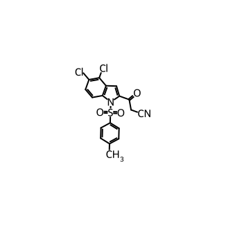 Cc1ccc(S(=O)(=O)n2c(C(=O)CC#N)cc3c(Cl)c(Cl)ccc32)cc1